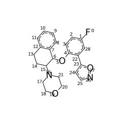 Fc1ccc(OC2c3ccccc3CCC2N2CCOCC2)c(-c2ccno2)c1